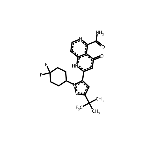 CC(C)(c1cc(-c2cc(=O)c3c(C(N)=O)nccc3[nH]2)n(C2CCC(F)(F)CC2)n1)C(F)(F)F